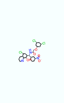 O=C(COc1cc(Cl)cc(Cl)c1)NC(c1cccc([N+](=O)[O-])c1)c1cc(Cl)c2cccnc2c1O